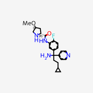 CO[C@@H]1CN[C@@H](C(=O)Nc2cc(C(N)(CCC3CC3)c3ccncc3)ccc2F)C1